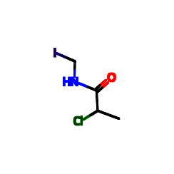 CC(Cl)C(=O)NCI